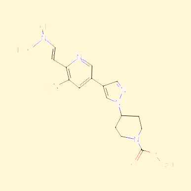 CN(C)C=Cc1ncc(-c2cnn(C3CCN(C(=O)OC(C)(C)C)CC3)c2)cc1[N+](=O)[O-]